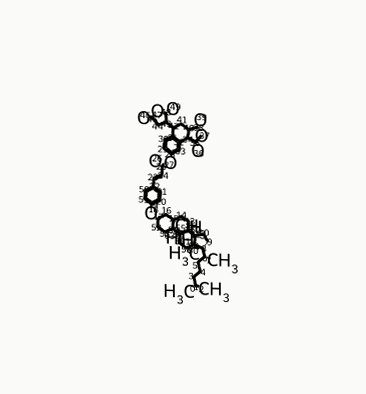 CC(C)CCC[C@@H](C)[C@H]1CC[C@H]2[C@@H]3CCC4CC(Oc5ccc(C=CC(=O)Oc6ccc7c(c6)C6C(=O)OC(=O)C6CC7C6CC(=O)OC6=O)cc5)CC[C@]4(C)[C@H]3CC[C@]12C